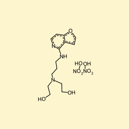 O=[N+]([O-])O.O=[N+]([O-])O.OCCN(CCO)CCCNc1nccc2occc12